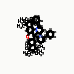 CC1(C)c2cc3c(cc2C(C)(C)C1(C)C)C(c1cccc(-c2ccccc2)n1)(c1cccc(-c2ccccc2)n1)c1cc2c(cc1O3)C(C)(C)C(C)(C)C2(C)C